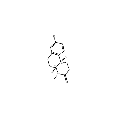 CN1C(=O)CC[C@H]2c3ccc(F)cc3CC[C@H]21